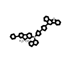 CC1(C)c2cc(-c3ccccc3)ccc2-c2ccc(N(c3ccc(-c4ccc(-c5cc6c7ccccc7oc6c6ccccc56)cc4)cc3)c3cccc4ccccc34)cc21